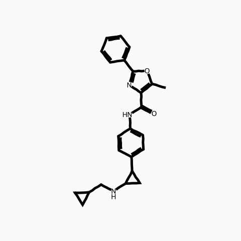 Cc1oc(-c2ccccc2)nc1C(=O)Nc1ccc(C2CC2NCC2CC2)cc1